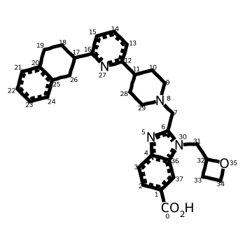 O=C(O)c1ccc2nc(CN3CCC(c4cccc(C5CCc6ccccc6C5)n4)CC3)n(CC3CCO3)c2c1